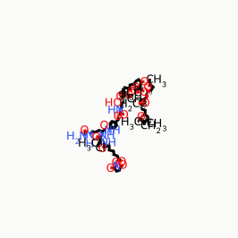 C=C1CC(CC[C@]23CCC(O2)C(C)OC2CCC(CC(=O)CC4CO[C@H](CC(O)CNC(=O)OCc5ccc(NC(=O)C(CCCNC(N)=O)NC(=O)[C@@H](NC(=O)CCCCCC(=O)ON6C(=O)CCC6=O)C(C)C)cc5)[C@@H]4OC)O[C@@H]2C(C)O3)O[C@H]1CCC1C[C@@H](C)C(=C)[C@@H](C)O1